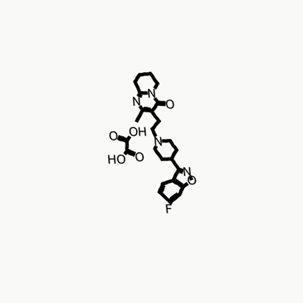 Cc1nc2n(c(=O)c1CCN1CCC(c3noc4cc(F)ccc34)CC1)CCCC2.O=C(O)C(=O)O